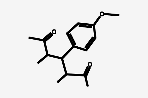 COc1ccc(C(C(C)C(C)=O)C(C)C(C)=O)cc1